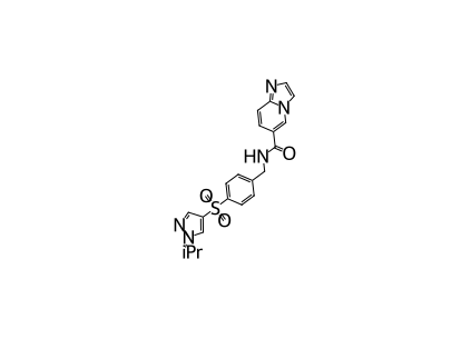 CC(C)n1cc(S(=O)(=O)c2ccc(CNC(=O)c3ccc4nccn4c3)cc2)cn1